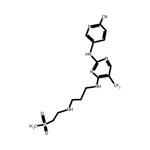 CS(=O)(=O)CCNCCCNc1nc(Nc2ccc(C#N)nc2)ncc1C(F)(F)F